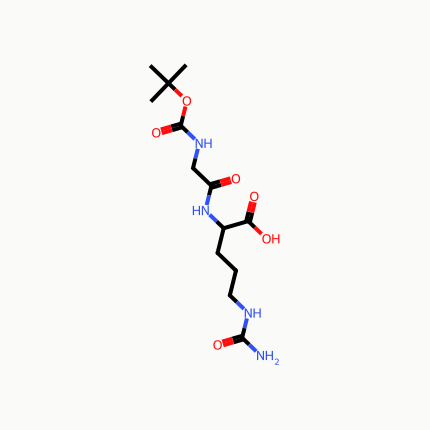 CC(C)(C)OC(=O)NCC(=O)NC(CCCNC(N)=O)C(=O)O